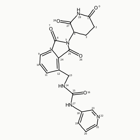 O=C1CCC(N2C(=O)c3cccc(CNC(=O)Nc4cccnc4)c3C2=O)C(=O)N1